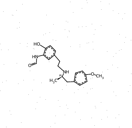 COc1ccc(C[C@@H](C)NCCc2ccc(O)c(NC=O)c2)cc1